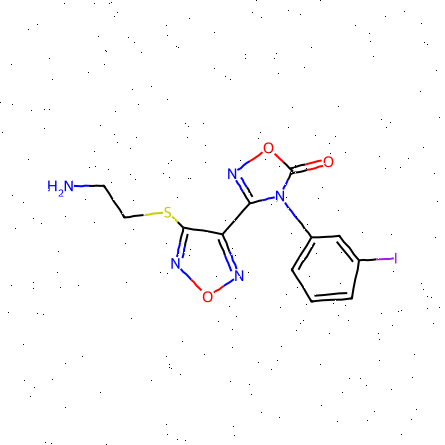 NCCSc1nonc1-c1noc(=O)n1-c1cccc(I)c1